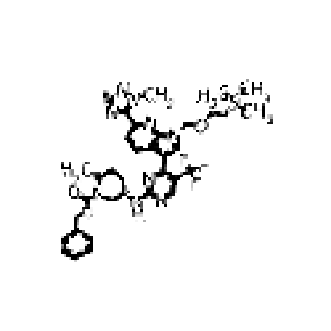 C[C@@H]1CC[C@@H](Nc2ncc(C(F)(F)F)c(-c3cn(COCC[Si](C)(C)C)c4nc(-c5nnnn5C)ccc34)n2)CN1C(=O)OCc1ccccc1